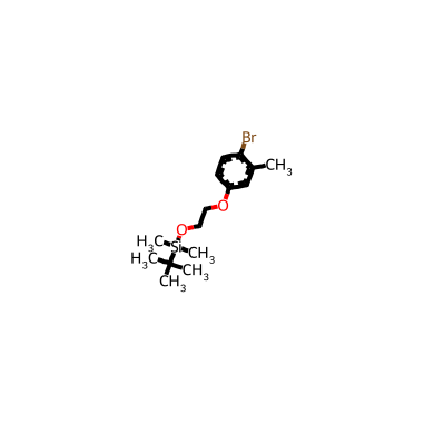 Cc1cc(OCCO[Si](C)(C)C(C)(C)C)ccc1Br